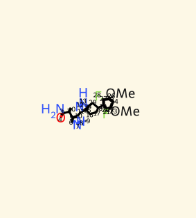 C=C(C(N)=O)c1cnn(C)c1-c1n[nH]c2c1CCC(c1c(F)c(OC)cc(OC)c1F)C2